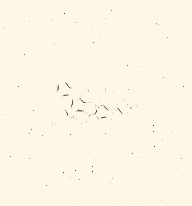 Cc1ccc(-c2c(CC(=O)O)c(C)c3c4c2cc(C)n4CCN3c2ncc(C3=CCN(C)CC3)cn2)cc1